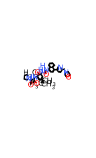 COc1c(NC(=O)Nc2ccc(-c3ccc(CN4CCOCC4)nc3)c3ccccc23)cc(C(C)(C)C)cc1Nc1c(N2CCCCC2)c(=O)c1=O